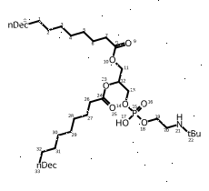 CCCCCCCCCCCCCCCCCC(=O)OCC(COP(=O)(O)OCCNC(C)(C)C)OC(=O)CCCCCCCCCCCCCCCCC